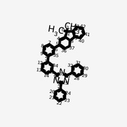 CC1(C)C2=CC(c3cccc(-c4cccc(-c5nc(-c6ccccc6)nc(-c6ccccc6)n5)c4)c3)=CCC2c2ccccc21